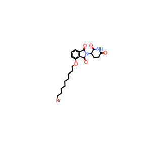 O=C1CCC(N2C(=O)c3cccc(OCCCCCCCCCBr)c3C2=O)C(=O)N1